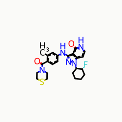 Cc1cc(Nc2nn(C3CCCC[C@H]3F)c3cc[nH]c(=O)c23)ccc1C(=O)N1CCSCC1